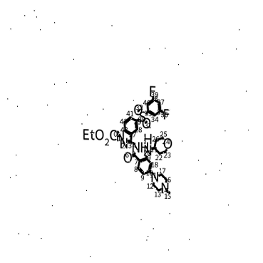 CCOC(=O)n1nc(NC(=O)c2ccc(N3CCN(C)CC3)cc2NC2CCOCC2)c2cc(S(=O)(=O)c3cc(F)cc(F)c3)ccc21